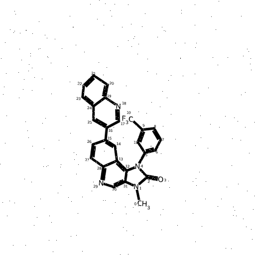 Cn1c(=O)n(-c2cccc(C(F)(F)F)c2)c2c3cc(-c4cnc5ccccc5c4)ccc3ncc21